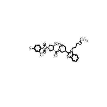 COCCCn1c(C2CCCN(C(=O)[C@@H]3CN(S(=O)(=O)c4ccc(F)cc4Cl)C[C@H]3N)C2)nc2ccccc21